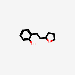 Oc1ccccc1CCC1CCCO1